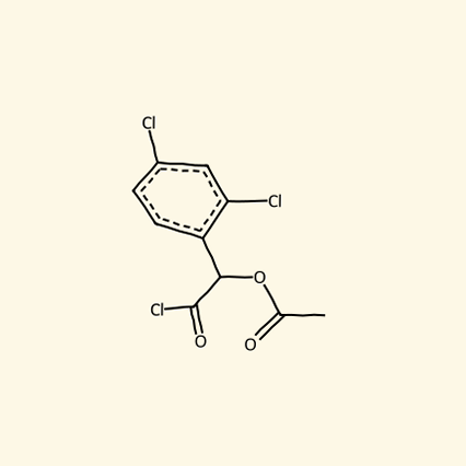 CC(=O)OC(C(=O)Cl)c1ccc(Cl)cc1Cl